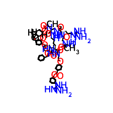 COc1ccc2c3c1O[C@H]1C(OC(=O)N(C)C(CNC(=O)[C@H](CCCNC(=N)N)NC(=O)CNC(C)=O)C(=O)NCCCC[C@H](NC(=O)OCc4ccccc4)C(=O)NCCOc4ccc(C(=O)Oc5cccc(NC(=N)N)c5)cc4)=CC[C@H]4[C@H](CCC[C@]314)C2